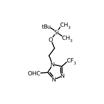 CC(C)(C)[Si](C)(C)OCCn1c(C=O)nnc1C(F)(F)F